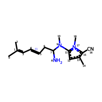 CC(C)=C/C=C/CC(N)N(C)c1cc(C)c(C#N)n1C